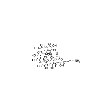 NCCCCCO[C@H]1OC(CO)[C@H](O[C@H]2OC(CO)[C@@H](O[C@@H]3OC(CO)[C@@H](O[C@@H]4OC(C(=O)O)[C@@H](O[C@H]5OC(CO)[C@H](O[C@H]6OC(CO)[C@@H](O)C(O)C6O)C(O)C5O)C(O)C4O)C(O)C3O)C(O)C2O)C(O)C1O